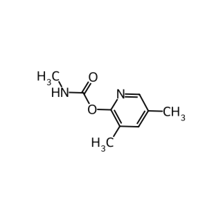 CNC(=O)Oc1ncc(C)cc1C